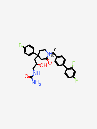 C[C@@H](c1ccc(-c2ccc(F)cc2F)cc1)N1CCC(CC(O)CNC(N)=O)(c2ccc(F)cc2)CC1=O